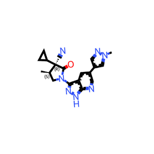 C[C@@H]1CN(c2n[nH]c3ncc(-c4cnn(C)c4)cc23)C(=O)[C@]1(C#N)C1CC1